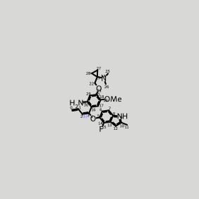 C=C/C=C(/Oc1ccc2[nH]c(C)cc2c1F)c1cc(OC)c(OCC2(N(C)C)CC2)cc1N